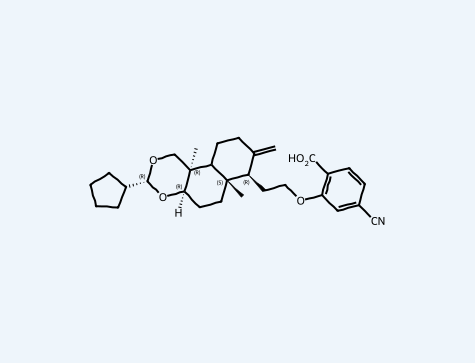 C=C1CCC2[C@]3(C)CO[C@@H](C4CCCC4)O[C@@H]3CC[C@@]2(C)[C@@H]1CCOc1cc(C#N)ccc1C(=O)O